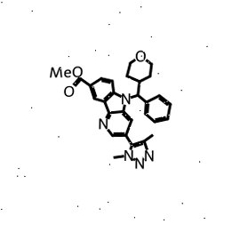 COC(=O)c1ccc2c(c1)c1ncc(-c3c(C)nnn3C)cc1n2C(c1ccccc1)C1CCOCC1